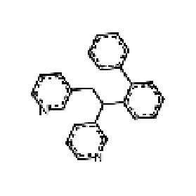 c1ccc(-c2ccccc2C(Cc2cccnc2)c2cccnc2)cc1